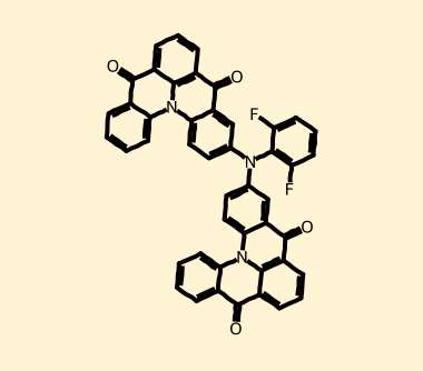 O=c1c2ccccc2n2c3ccc(N(c4ccc5c(c4)c(=O)c4cccc6c(=O)c7ccccc7n5c64)c4c(F)cccc4F)cc3c(=O)c3cccc1c32